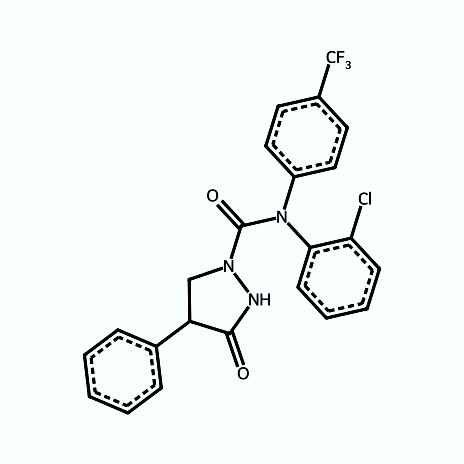 O=C1NN(C(=O)N(c2ccc(C(F)(F)F)cc2)c2ccccc2Cl)CC1c1ccccc1